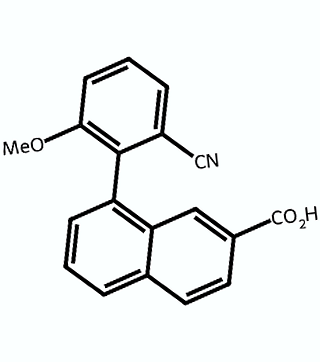 COc1cccc(C#N)c1-c1cccc2ccc(C(=O)O)cc12